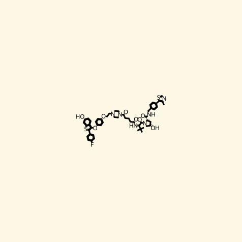 Cc1ncsc1-c1ccc(CNC(=O)[C@@H]2C[C@@H](O)CN2C(=O)[C@@H](NC(=O)CCCC(=O)N2CCN(CCOc3ccc(Oc4c(-c5ccc(F)cc5)sc5cc(O)ccc45)cc3)CC2)C(C)(C)C)cc1